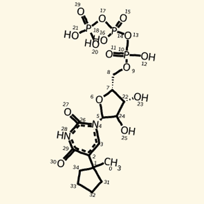 CC1(c2cn([C@@H]3O[C@H](COP(=O)(O)OP(=O)(O)OP(=O)(O)O)[C@H](O)C3O)c(=O)[nH]c2=O)CCCC1